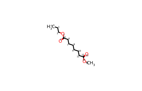 CCCOC(=O)CCCCCCC(=O)OC